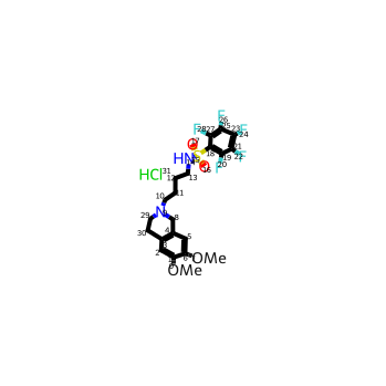 COc1cc2c(cc1OC)CN(CCCCNS(=O)(=O)c1c(F)c(F)c(F)c(F)c1F)CC2.Cl